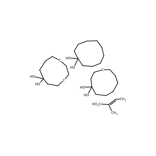 CC=C(C)C(=O)O.OC1(O)CCCCCCCCC1.OC1(O)CCCCCCCCC1.OC1(O)CCCCCCCCC1